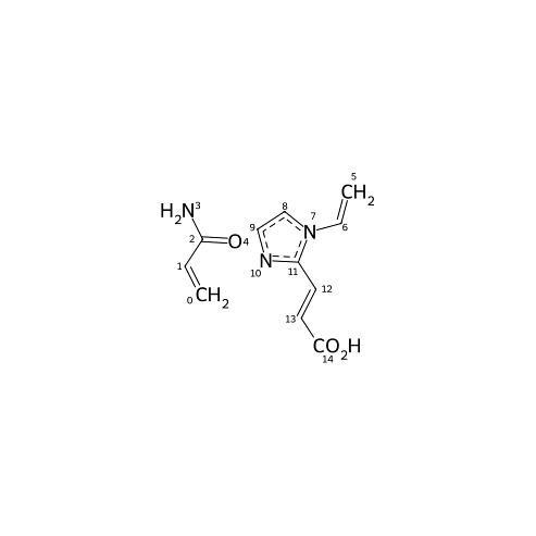 C=CC(N)=O.C=Cn1ccnc1C=CC(=O)O